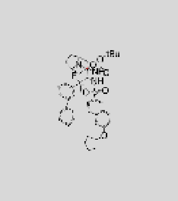 CC(C)(C)OC(=O)NC1CC2CCC(C1)N2C(=O)C(NS(=O)(=O)c1ccc2cc(OC3CCCC3)ccc2c1)C(F)(F)c1cccc(-c2ccccc2)c1